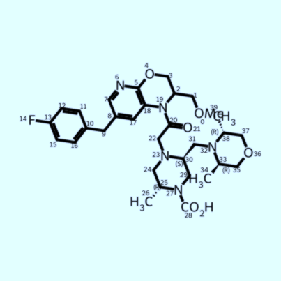 COCC1COc2ncc(Cc3ccc(F)cc3)cc2N1C(=O)CN1C[C@@H](C)N(C(=O)O)C[C@@H]1CN1[C@H](C)COC[C@H]1C